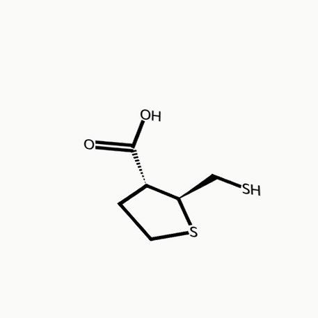 O=C(O)[C@H]1CCS[C@@H]1CS